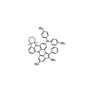 CC(C)(C)c1ccc(N(c2ccc(C(C)(C)C)cc2)c2cc3c4c(c2)-n2c(-c5ccccc5)c(C(C)(C)C)c5cc(C(C)(C)C)cc(c52)B4c2cccc4c2N3C2(C)CCCCC42C)cc1